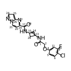 O=C(COc1ccc(Cl)c(F)c1)NC12CC(NC(=O)c3ccn4nccc4n3)(C1)C2